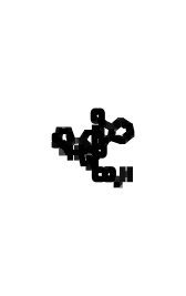 O=C(O)N1C[C@@H]2[C@H](C1)C2(CN1C(=O)c2ccccc2C1=O)c1ccsn1